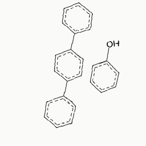 Oc1ccccc1.c1ccc(-c2ccc(-c3ccccc3)cc2)cc1